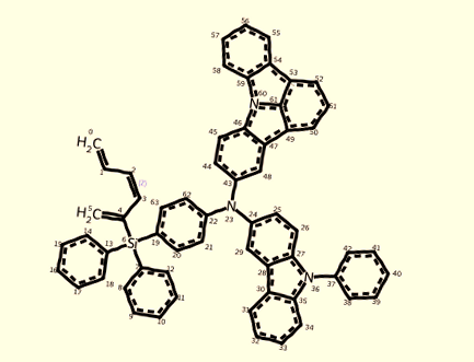 C=C/C=C\C(=C)[Si](c1ccccc1)(c1ccccc1)c1ccc(N(c2ccc3c(c2)c2ccccc2n3-c2ccccc2)c2ccc3c(c2)c2cccc4c5ccccc5n3c42)cc1